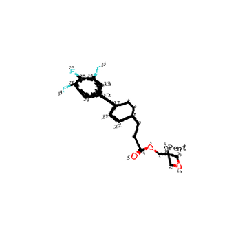 CCCCCC1(COC(=O)CCC2CCC(c3cc(F)c(F)c(F)c3)CC2)COC1